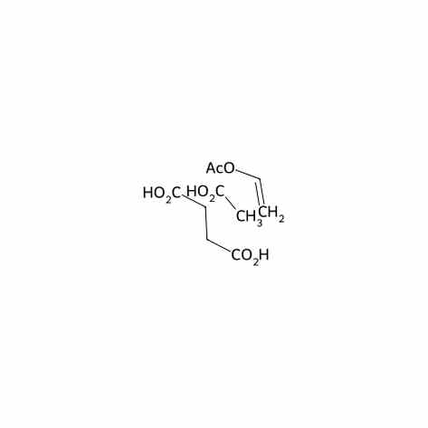 C=COC(C)=O.CC(=O)O.O=C(O)CCC(=O)O